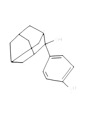 OC1(c2ccc([SiH3])cc2)C2CC3CC(C2)CC1C3